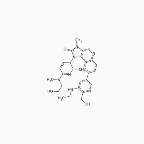 CCNc1cc(-c2ccc3ncc4c(c3c2)n(C2C=CC(N(C)CCO)=NC2C)c(=O)n4C)cnc1CO